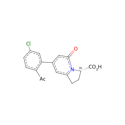 CC(=O)c1ccc(Cl)cc1-c1cc2n(c(=O)c1)[C@H](C(=O)O)CC2